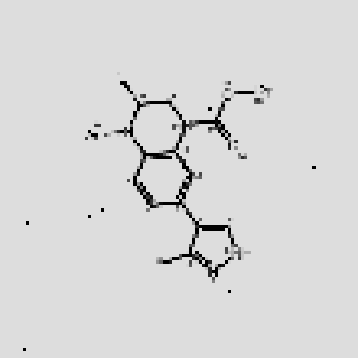 CC(=O)N1c2ccc(-c3c[nH]nc3C)cc2N(C(=O)OC(C)C)C[C@@H]1C